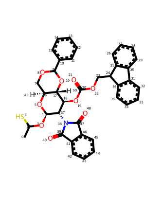 CC(S)O[C@H]1O[C@H]2COC(c3ccccc3)O[C@@H]2[C@@H](OC(=O)OCC2c3ccccc3-c3ccccc32)[C@@H]1N1C(=O)c2ccccc2C1=O